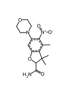 Cc1c([N+](=O)[O-])c(N2CCOCC2)cc2c1C(C)(C)C(C(N)=O)O2